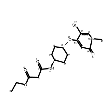 CCOC(=O)CC(=O)N[C@H]1CC[C@H](Oc2cc(=O)n(C)cc2Br)CC1